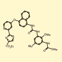 CCOC(=O)c1csc(-c2cc(Oc3ccc(NC(=O)Nc4cc(C(C)(C)C)cc(NC(=O)OC)c4OC)c4ccccc34)ccn2)n1